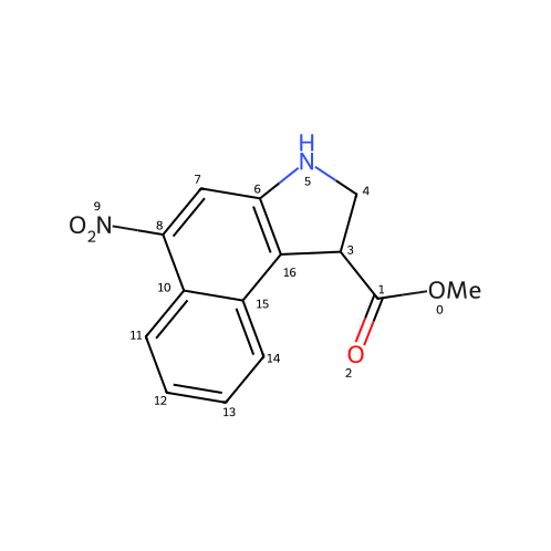 COC(=O)C1CNc2cc([N+](=O)[O-])c3ccccc3c21